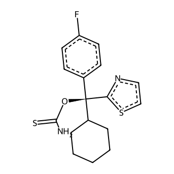 NC(=S)O[C@@](c1ccc(F)cc1)(c1nccs1)C1CCCCC1